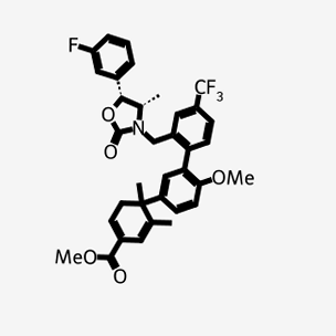 COC(=O)C1=CCC(C)(c2ccc(OC)c(-c3ccc(C(F)(F)F)cc3CN3C(=O)O[C@H](c4cccc(F)c4)[C@@H]3C)c2)C(C)=C1